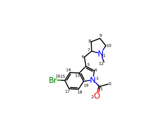 CC(=O)n1cc(CC2CCCN2C)c2cc(Br)ccc21